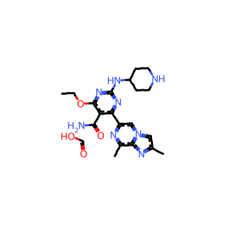 CCOc1nc(NC2CCNCC2)nc(-c2cn3cc(C)nc3c(C)n2)c1C(N)=O.O=CO